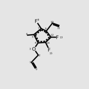 C=CCOc1c(C)c(F)c(C=C)c(F)c1F